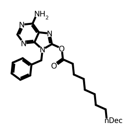 CCCCCCCCCCCCCCCCCC(=O)Oc1nc2c(N)ncnc2n1Cc1ccccc1